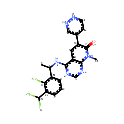 CC(Nc1ncnc2c1cc(-c1ccnnc1)c(=O)n2C)c1cccc(C(F)F)c1F